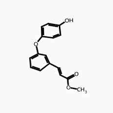 COC(=O)C=Cc1cccc(Oc2ccc(O)cc2)c1